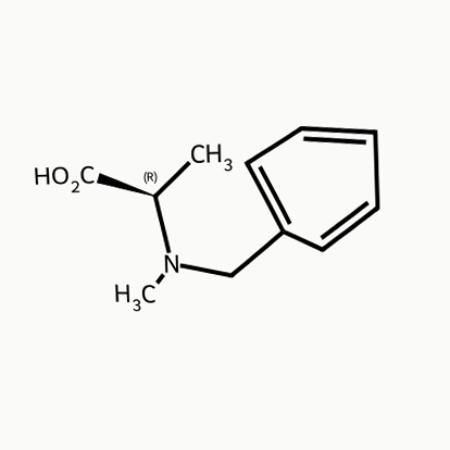 C[C@H](C(=O)O)N(C)Cc1ccccc1